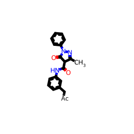 CC(=O)Cc1cccc(NC(=O)C2C(=O)N(c3ccccc3)N=C2C)c1